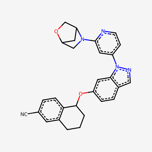 N#Cc1ccc2c(c1)CCCC2Oc1ccc2cnn(-c3ccnc(N4CC5CC4CO5)c3)c2c1